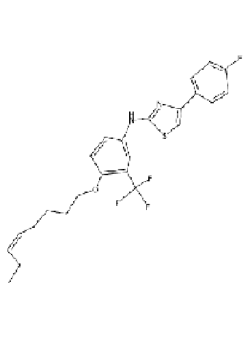 CC/C=C\CCCCOc1ccc(Nc2nc(-c3ccc(F)cc3)cs2)cc1C(F)(F)F